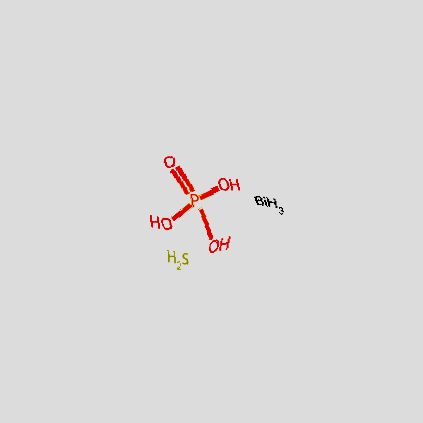 O=P(O)(O)O.S.[BiH3]